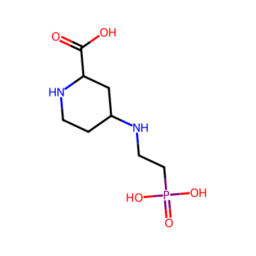 O=C(O)C1CC(NCCP(=O)(O)O)CCN1